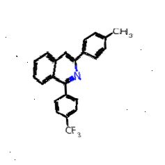 Cc1ccc(-c2cc3ccccc3c(-c3ccc(C(F)(F)F)cc3)n2)cc1